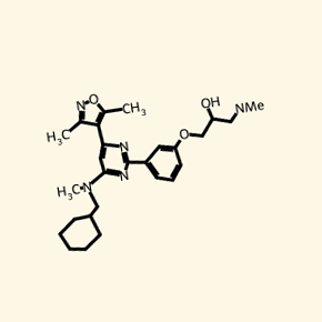 CNCC(O)COc1cccc(-c2nc(-c3c(C)noc3C)cc(N(C)CC3CCCCC3)n2)c1